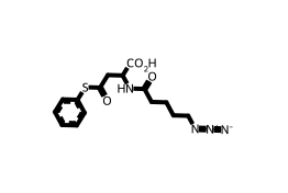 [N-]=[N+]=NCCCCC(=O)NC(CC(=O)Sc1ccccc1)C(=O)O